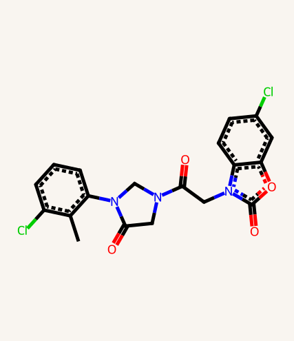 Cc1c(Cl)cccc1N1CN(C(=O)Cn2c(=O)oc3cc(Cl)ccc32)CC1=O